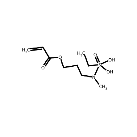 C=CC(=O)OCCCN(C)S(=O)(O)(O)CC